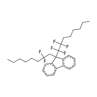 CCCCCCC(F)(F)CC1(C(F)(F)C(F)(F)CCCCCC)c2ccccc2-c2ccccc21